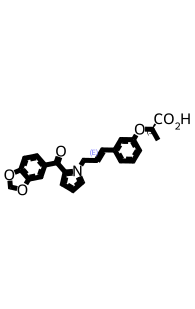 C[C@H](Oc1cccc(/C=C/Cn2cccc2C(=O)c2ccc3c(c2)OCO3)c1)C(=O)O